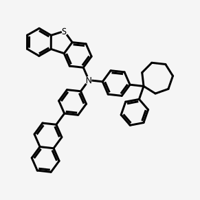 c1ccc(C2(c3ccc(N(c4ccc(-c5ccc6ccccc6c5)cc4)c4ccc5sc6ccccc6c5c4)cc3)CCCCCC2)cc1